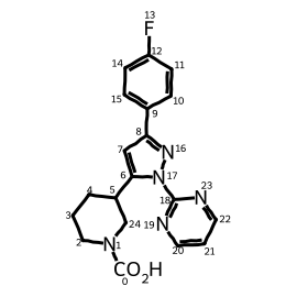 O=C(O)N1CCCC(c2cc(-c3ccc(F)cc3)nn2-c2ncccn2)C1